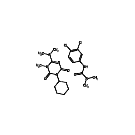 CN(C)C(=O)Nc1ccc(Cl)c(Cl)c1.CN(C)c1nc(=O)n(C2CCCCC2)c(=O)n1C